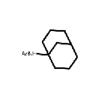 CC(=O)NC12CCCC(CCC1)C2